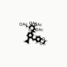 CC(=O)OC[C@H]1OC(C)(c2ccc(C3CC3)c(Cc3ccc4c(c3)OCCO4)c2)[C@H](OC(C)=O)[C@@H](OC(C)=O)[C@@H]1OC(C)=O